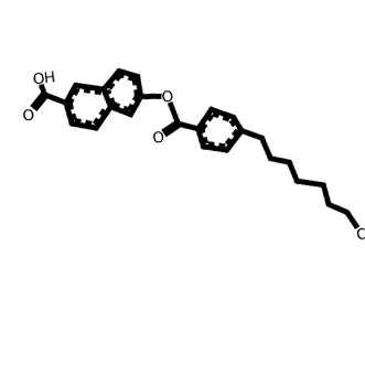 CCCCCCCCc1ccc(C(=O)Oc2ccc3cc(C(=O)O)ccc3c2)cc1